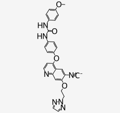 [C-]#[N+]c1cc2c(Oc3ccc(NC(=O)Nc4ccc(OC)cc4)cc3)ccnc2cc1OCCn1nccn1